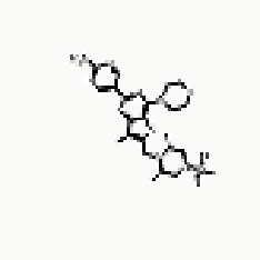 Cc1c(CN2[C@H](C)CN(S(C)(=O)=O)C[C@@H]2C)sc2c(N3CCOCC3)nc(-c3cnc(N)nc3)nc12